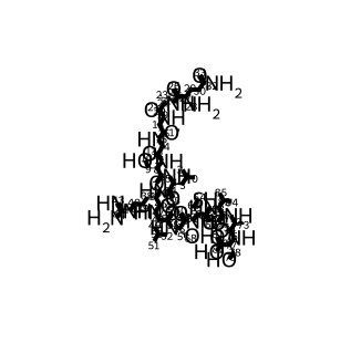 CC(C)C[C@H](NC(=O)[C@H](CO)NC(=O)CNC(=O)CNC(=O)[C@H](C)NC(=O)[C@@H](N)CCC(N)=O)C(=O)N[C@@H](CCCNC(=N)N)C(=O)N[C@@H](CC(C)C)C(=O)N[C@@H](CO)C(=O)N[C@@H](CS)C(=O)N[C@H](C(=O)N[C@@H](C)C(=O)N[C@@H](CO)C(=O)O)C(C)C